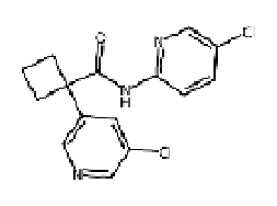 O=C(Nc1ccc(Cl)cn1)C1(c2cncc(Cl)c2)CCC1